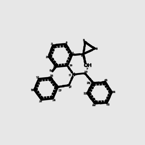 Cc1cccc(C2(O)CC2)c1N(Cc1ccccc1)Cc1ccccc1